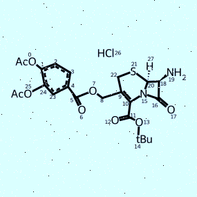 CC(=O)Oc1ccc(C(=O)OCC2=C(C(=O)OC(C)(C)C)N3C(=O)[C@H](N)[C@@H]3SC2)cc1OC(C)=O.Cl